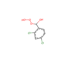 OOOC(O)c1ccc(Cl)cc1Cl